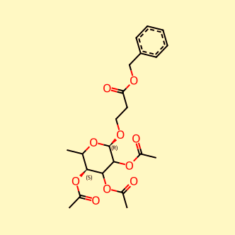 CC(=O)OC1C(OC(C)=O)[C@@H](OC(C)=O)C(C)O[C@H]1OCCC(=O)OCc1ccccc1